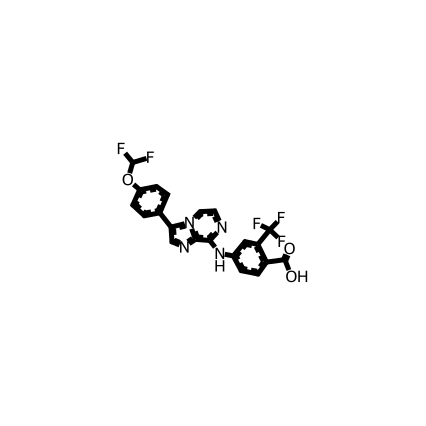 O=C(O)c1ccc(Nc2nccn3c(-c4ccc(OC(F)F)cc4)cnc23)cc1C(F)(F)F